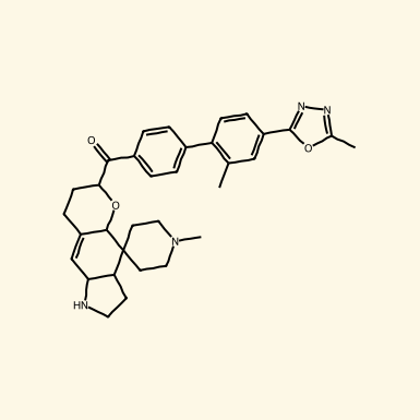 Cc1nnc(-c2ccc(-c3ccc(C(=O)C4CCC5=CC6NCCC6C6(CCN(C)CC6)C5O4)cc3)c(C)c2)o1